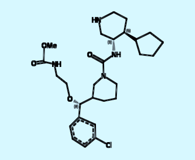 COC(=O)NCCO[C@@H](c1cccc(Cl)c1)C1CCCN(C(=O)N[C@@H]2CNCC[C@H]2C2CCCC2)C1